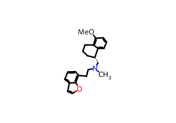 COc1cccc2c1CCC[C@H]2CN(C)CCc1cccc2ccoc12